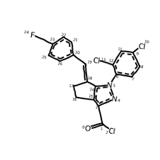 O=C(Cl)c1nn(-c2ccc(Cl)cc2Cl)c2c1CC/C2=C\c1ccc(F)cc1